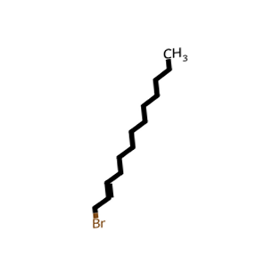 CCCCCCCCCCC=CCBr